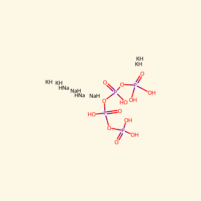 O=P(O)(O)OP(=O)(O)OP(=O)(O)OP(=O)(O)O.[KH].[KH].[KH].[KH].[NaH].[NaH].[NaH].[NaH]